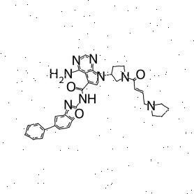 Nc1ncnc2c1c(C(=O)Nc1nc3cc(-c4ccccc4)ccc3o1)cn2C1CCN(C(=O)C=CCN2CCCC2)C1